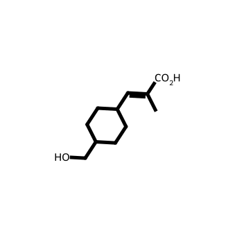 CC(=CC1CCC(CO)CC1)C(=O)O